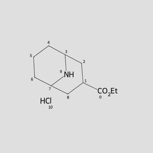 CCOC(=O)C1CC2CCCC(C1)N2.Cl